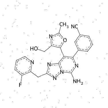 Cc1nc(CO)c(-c2c(-c3cccc(C#N)c3)nc(N)n3nc(Cc4ncccc4F)nc23)o1